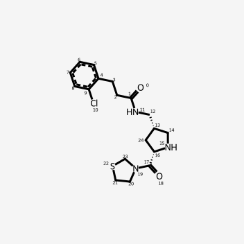 O=C(CCc1ccccc1Cl)NC[C@@H]1CN[C@H](C(=O)N2CCSC2)C1